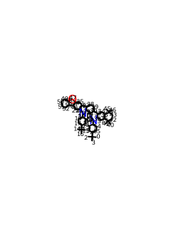 CC(C)(C)c1ccc(N2B3c4cc(C(C)(C)C)ccc4-n4c5cc6c(cc5c5ccc(c3c54)-c3cc4c(cc32)C(C)(C)CCC4(C)C)oc2ccccc26)cc1